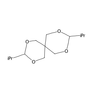 CC(C)C1OCC2(CO1)COC(C(C)C)OC2